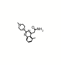 Cc1cccc2nc(N3CCN(C)CC3)nc(CC(N)=O)c12